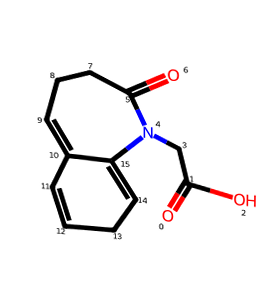 O=C(O)CN1C(=O)CCC=C2C=CCC=C21